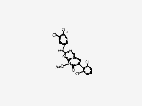 COn1c(=O)c(-c2c(Cl)cccc2Cl)cc2cnc(Nc3ccc(C(F)(F)F)c(Cl)c3)nc21